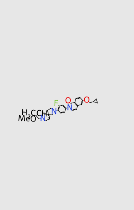 COC(C)(C)CN1CCC2(CCN(c3ccc(-n4ccc5cc(OCC6CC6)ccc5c4=O)cc3F)C2)C1